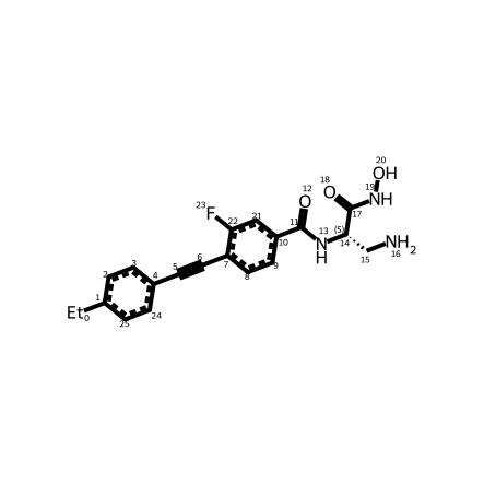 CCc1ccc(C#Cc2ccc(C(=O)N[C@@H](CN)C(=O)NO)cc2F)cc1